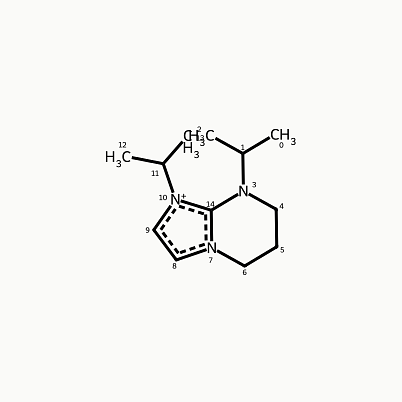 CC(C)N1CCCn2cc[n+](C(C)C)c21